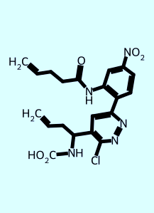 C=CCCC(=O)Nc1cc([N+](=O)[O-])ccc1-c1cc(C(CC=C)NC(=O)O)c(Cl)nn1